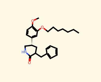 CCCCCCCOc1cc([C@H]2CNC(=O)C(Cc3ccccc3)C2)ccc1OC